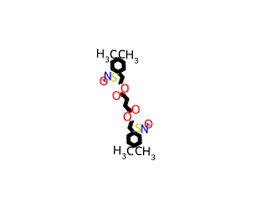 CC1(C)CCC(CCOC(=O)CCC(=O)OCCC2(SN=O)CCC(C)(C)CC2)(SN=O)CC1